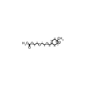 CC(=O)OCCOCCOCC1CCC2(C)OC2C1